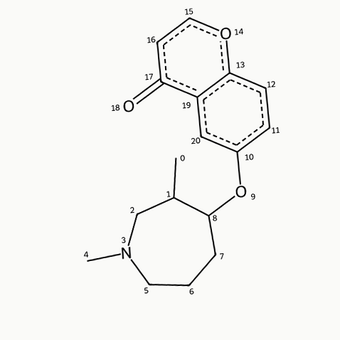 CC1CN(C)CCCC1Oc1ccc2occc(=O)c2c1